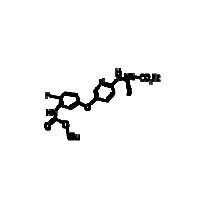 CCOC(=O)NC(=S)Nc1ccc(Oc2ccc(F)c(NC(=O)OC(C)(C)C)c2)cn1